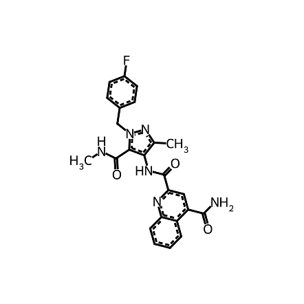 CNC(=O)c1c(NC(=O)c2cc(C(N)=O)c3ccccc3n2)c(C)nn1Cc1ccc(F)cc1